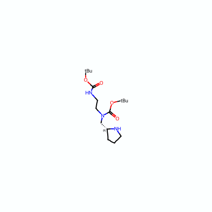 CC(C)(C)OC(=O)NCCN(C[C@H]1CCCN1)C(=O)OC(C)(C)C